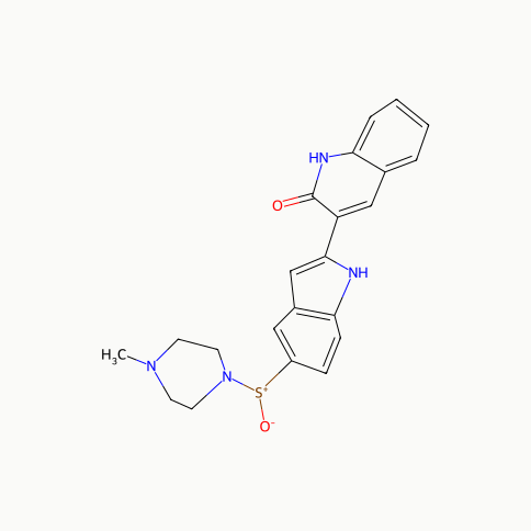 CN1CCN([S+]([O-])c2ccc3[nH]c(-c4cc5ccccc5[nH]c4=O)cc3c2)CC1